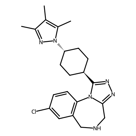 Cc1nn([C@H]2CC[C@H](c3nnc4n3-c3ccc(Cl)cc3CNC4)CC2)c(C)c1C